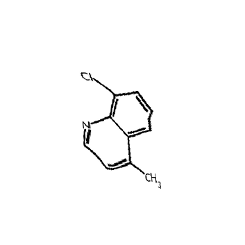 Cc1ccnc2c(Cl)cccc12